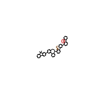 CC1(C)c2ccccc2-c2ccc(-c3ccc4c(c3)-c3ccccc3C(c3cccc5c3sc3ccc(-c6cccc7c6oc6ccccc67)cc35)CC4)cc21